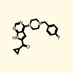 O=C(c1cc2c(N3CCN(Cc4ccc(F)cc4)CC3)ncnc2[nH]1)C1CC1